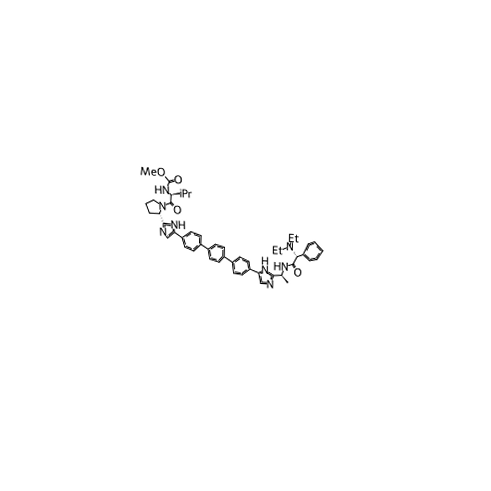 CCN(CC)[C@@H](C(=O)N[C@@H](C)c1ncc(-c2ccc(-c3ccc(-c4ccc(-c5cnc([C@@H]6CCCN6C(=O)[C@@H](NC(=O)OC)C(C)C)[nH]5)cc4)cc3)cc2)[nH]1)c1ccccc1